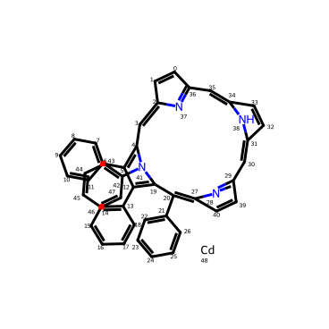 C1=Cc2cc3c(-c4ccccc4)c(-c4ccccc4)c(c(-c4ccccc4)c4nc(cc5ccc(cc1n2)[nH]5)C=C4)n3-c1ccccc1.[Cd]